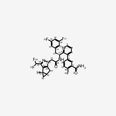 NC(=O)c1cc(-c2cccnc2[C@H](Cc2cc(F)cc(F)c2)NC(=O)Cn2nc(C(F)F)c3c2CC2C[C@H]32)ccc1F